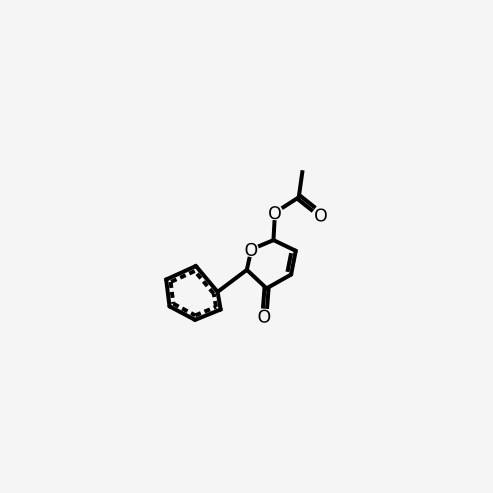 CC(=O)OC1C=CC(=O)C(c2ccccc2)O1